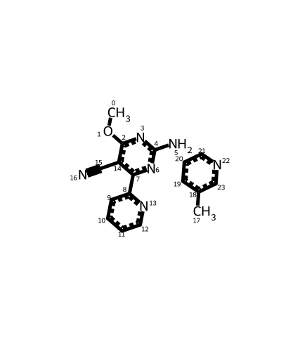 COc1nc(N)nc(-c2ccccn2)c1C#N.Cc1cccnc1